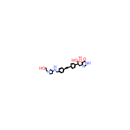 O=c1[nH]cnc(CC(CO)c2ccc(C#Cc3ccc(CNC4CCN(CCO)C4)cc3)cc2)c1O